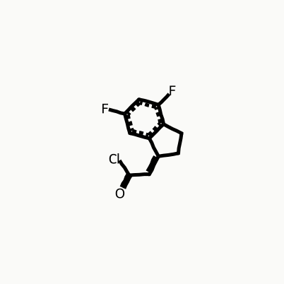 O=C(Cl)/C=C1/CCc2c(F)cc(F)cc21